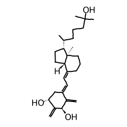 C=C1/C(=C/C=C2\CCC[C@]3(C)[C@@H](C(C)CCCC(C)(C)O)CC[C@@H]23)C[C@@H](O)C(=C)[C@@H]1O